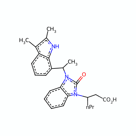 CCCC(CC(=O)O)n1c(=O)n(C(C)c2cccc3c(C)c(C)[nH]c23)c2ccccc21